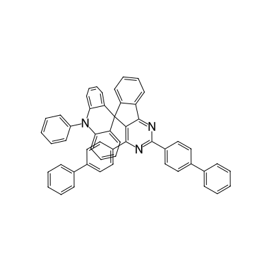 c1ccc(-c2ccc(-c3nc(-c4ccc(-c5ccccc5)cc4)c4c(n3)-c3ccccc3C43c4ccccc4N(c4ccccc4)c4ccccc43)cc2)cc1